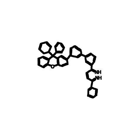 N=C(/C=C\C(=N)c1cccc(-c2cccc(-c3ccc4c(c3)C(c3ccccc3)(C3C=CC=CC3)c3ccccc3O4)c2)c1)c1ccccc1